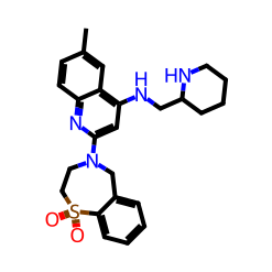 Cc1ccc2nc(N3CCS(=O)(=O)c4ccccc4C3)cc(NCC3CCCCN3)c2c1